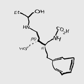 CCC(O)NC[C@@H](O)[C@H](Cc1ccccc1)NC(=O)O